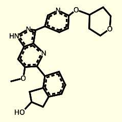 COc1cc2[nH]nc(-c3ccc(OC4CCOCC4)nc3)c2nc1-c1cccc2c1CC(O)C2